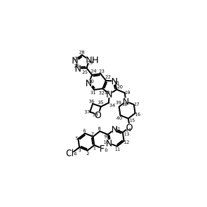 Fc1cc(Cl)ccc1Cc1nccc(OC2CCN(Cc3nc4cc(-c5nnc[nH]5)ncc4n3CC3CCO3)CC2)n1